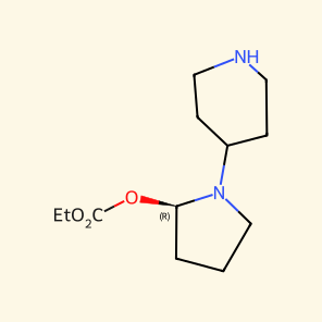 CCOC(=O)O[C@@H]1CCCN1C1CCNCC1